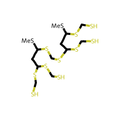 CSC(CC(SCS)SCS)SCSC(CC(SC)SCS)SCS